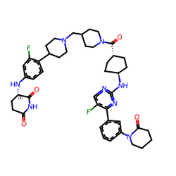 O=C1CC[C@H](Nc2ccc(C3CCN(CC4CCN(C(=O)[C@H]5CC[C@H](Nc6ncc(F)c(-c7cccc(N8CCCCC8=O)c7)n6)CC5)CC4)CC3)c(F)c2)C(=O)N1